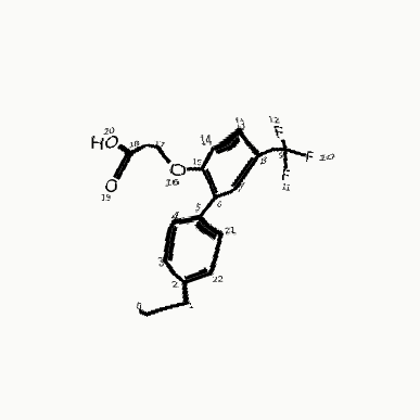 CCc1ccc(-c2cc(C(F)(F)F)ccc2OCC(=O)O)cc1